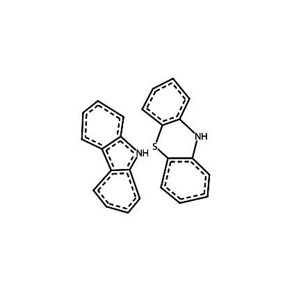 c1ccc2c(c1)Nc1ccccc1S2.c1ccc2c(c1)[nH]c1ccccc12